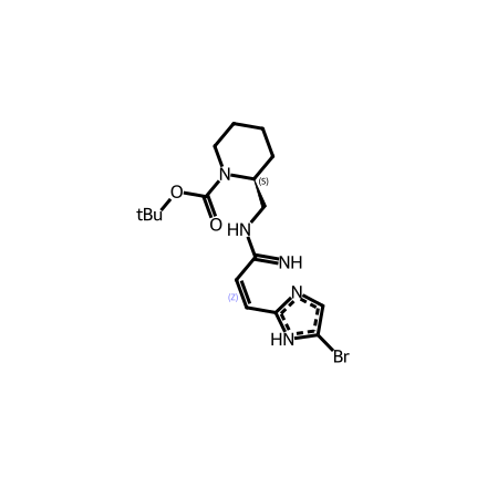 CC(C)(C)OC(=O)N1CCCC[C@H]1CNC(=N)/C=C\c1ncc(Br)[nH]1